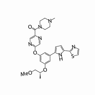 COC[C@H](C)Oc1cc(Oc2cnc(C(=O)N3CCN(C)CC3)cn2)cc(-c2ccc(-c3nccs3)[nH]2)c1